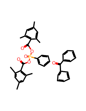 Cc1cc(C)c(C(=O)OP(=O)(OC(=O)c2c(C)cc(C)cc2C)c2ccccc2)c(C)c1.O=C(c1ccccc1)c1ccccc1